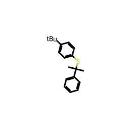 CC(C)(C)c1ccc(SC(C)(C)c2ccccc2)cc1